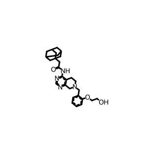 O=C(CC12CC3CC(CC(C3)C1)C2)Nc1ncnc2c1CCN(Cc1ccccc1OCCO)C2